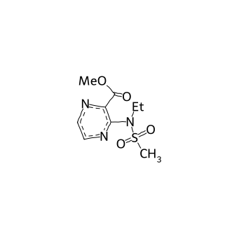 CCN(c1nccnc1C(=O)OC)S(C)(=O)=O